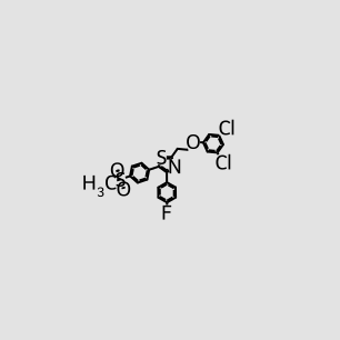 CS(=O)(=O)c1ccc(-c2sc(CCOc3cc(Cl)cc(Cl)c3)nc2-c2ccc(F)cc2)cc1